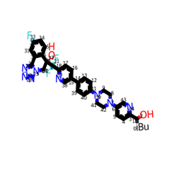 CCC(C)C(O)c1ccc(N2CCN(c3ccc(-c4ccc(C(F)(F)[C@]5(O)Cn6nnnc6-c6cc(F)ccc65)nc4)cc3)CC2)cn1